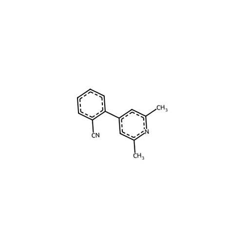 Cc1cc(-c2ccccc2C#N)cc(C)n1